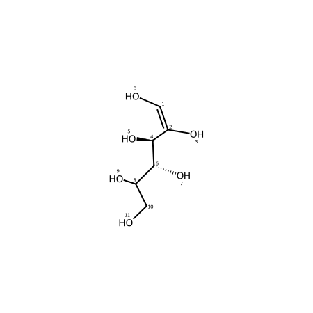 O/C=C(/O)[C@H](O)[C@H](O)C(O)CO